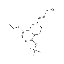 CCOC(=O)C1CC(C=CCBr)CCN1C(=O)OC(C)(C)C